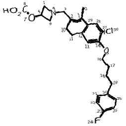 CC1=C(CN2CC(OC(=O)O)C2)CCc2cc(OCCCCc3ccc(F)cc3)ccc21.Cl